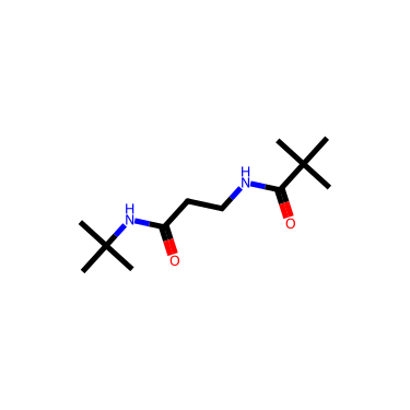 CC(C)(C)NC(=O)CCNC(=O)C(C)(C)C